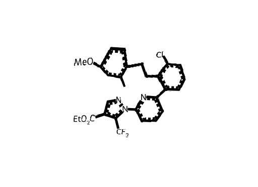 CCOC(=O)c1cnn(-c2cccc(-c3cccc(Cl)c3CCc3ccc(OC)cc3C)n2)c1C(F)(F)F